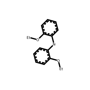 CCOc1ccccc1[N]c1ccccc1OCC